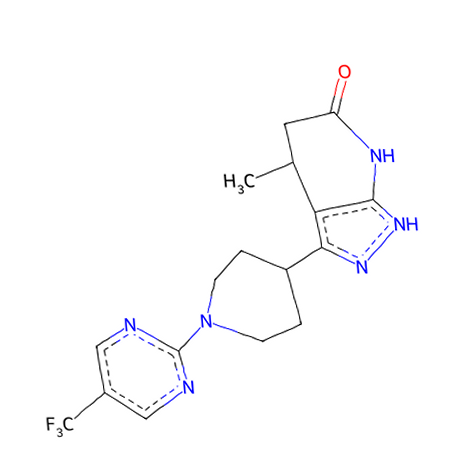 CC1CC(=O)Nc2[nH]nc(C3CCN(c4ncc(C(F)(F)F)cn4)CC3)c21